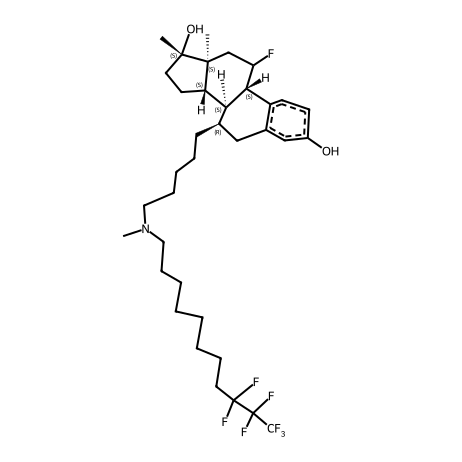 CN(CCCCCCCCC(F)(F)C(F)(F)C(F)(F)F)CCCCC[C@@H]1Cc2cc(O)ccc2[C@H]2C(F)C[C@@]3(C)[C@@H](CC[C@]3(C)O)[C@H]12